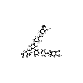 CC(C)c1cc2nc(-c3ccc(-c4ccc(-c5nc6ccccc6nc5-c5ccc(-c6ccc(-c7nc8cc(C(C)C)c(C(C)C)cc8o7)cc6)cc5)cc4)cc3)oc2cc1C(C)C